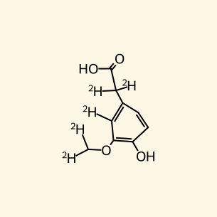 [2H]c1c(C([2H])([2H])C(=O)O)ccc(O)c1OC([2H])[2H]